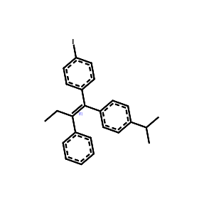 CC/C(=C(\c1ccc(I)cc1)c1ccc(C(C)C)cc1)c1ccccc1